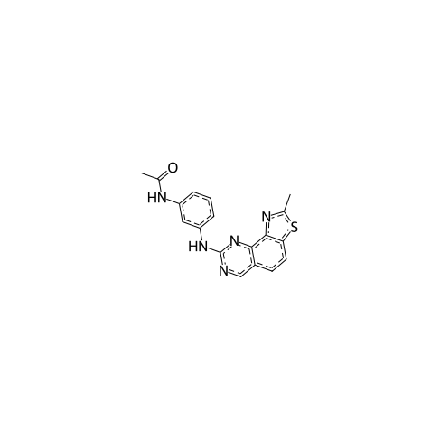 CC(=O)Nc1cccc(Nc2ncc3ccc4sc(C)nc4c3n2)c1